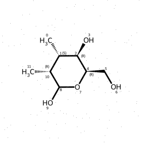 C[C@@H]1[C@@H](O)[C@@H](CO)OC(O)[C@@H]1C